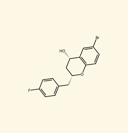 O[C@H]1C[C@@H](Cc2ccc(F)cc2)Oc2ccc(Br)cc21